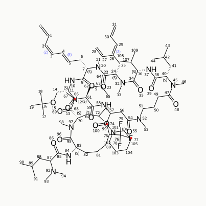 C=C/C=C\C=C\C[C@@H](C(=O)N[C@H](C=O)COC(C)(C)C)N(C)C(=O)[C@H](C/C(C=C)=C/C=C)N(C)C(=O)[C@@H](NC(=O)[C@H](CC(C)C)N(C)C(=O)CCCN(C)C(=O)CC(NC(=O)[C@H](CC(C)C)N(C)C(=O)[C@@H]1CC(C)OC(C(F)(F)F)CCC[C@H](NC(=O)C(CC(C)C)N(C)C)C(=O)N1C)C(=O)N1CCCCC1)C(C)C